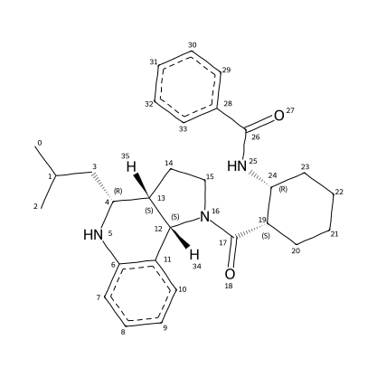 CC(C)C[C@H]1Nc2ccccc2[C@@H]2[C@H]1CCN2C(=O)[C@H]1CCCC[C@H]1NC(=O)c1ccccc1